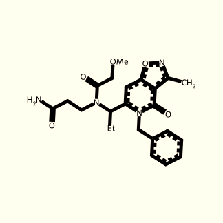 CCC(c1cc2onc(C)c2c(=O)n1Cc1ccccc1)N(CCC(N)=O)C(=O)COC